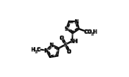 Cn1ccc(S(=O)(=O)Nc2scnc2C(=O)O)n1